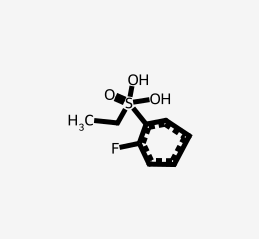 CCS(=O)(O)(O)c1ccccc1F